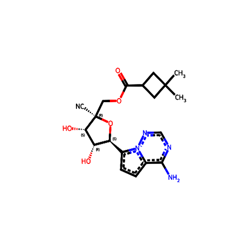 CC1(C)CC(C(=O)OC[C@@]2(C#N)O[C@@H](c3ccc4c(N)ncnn34)[C@H](O)[C@@H]2O)C1